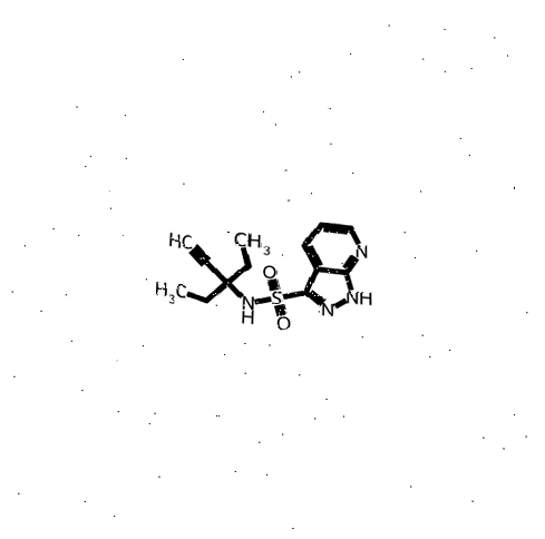 C#CC(CC)(CC)NS(=O)(=O)c1n[nH]c2ncccc12